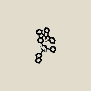 c1ccc(-c2cc(-c3ccc4c(c3)C3(c5ccccc5-4)c4ccccc4-c4c3oc3ccccc43)nc(-c3ccc4ccccc4c3)n2)cc1